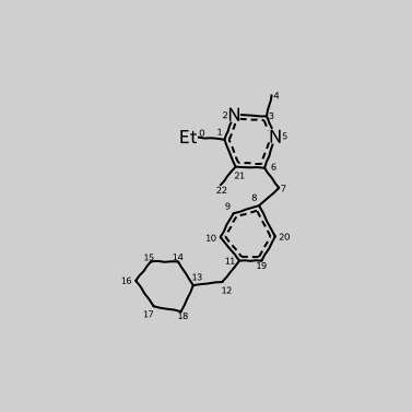 CCc1nc(C)nc(Cc2ccc(CC3CCCCC3)cc2)c1C